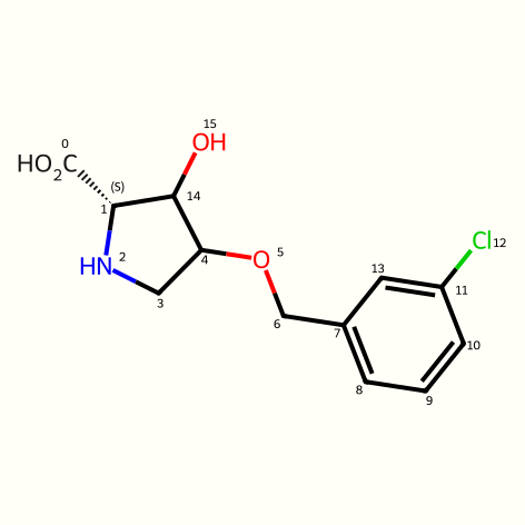 O=C(O)[C@H]1NCC(OCc2cccc(Cl)c2)C1O